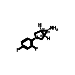 N[C@@H]1[C@H]2CN(c3ccc(F)cc3F)C[C@@H]12